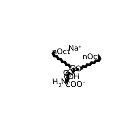 CCCCCCCC/C=C\CCCCCCCCOC[C@H](COP(=O)(O)OC[C@H](N)C(=O)[O-])OCCCCCCCC/C=C\CCCCCCCC.[Na+]